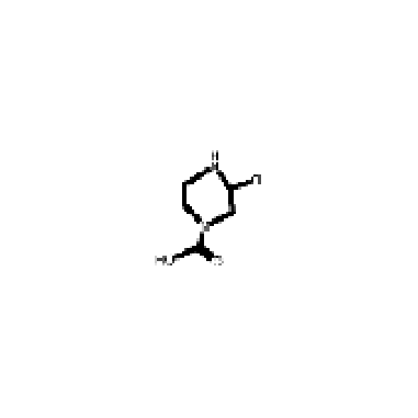 O=C(O)N1CCNC(Cl)C1